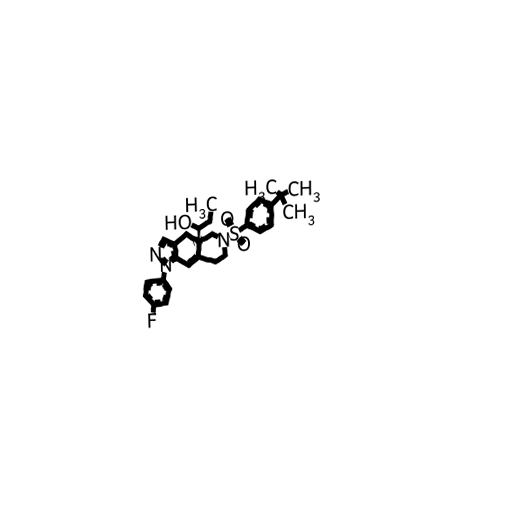 CCC(O)[C@]12Cc3cnn(-c4ccc(F)cc4)c3C=C1CCN(S(=O)(=O)c1ccc(C(C)(C)C)cc1)C2